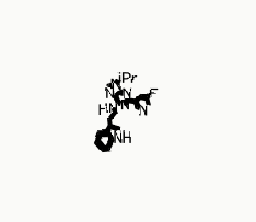 CC(C)n1cnc2c(NCCc3c[nH]c4ccccc34)nc(-c3cncc(F)c3)nc21